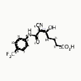 N#C/C(C(=O)Nc1ccc(C(F)(F)F)cc1)=C(\O)CCCC(=O)O